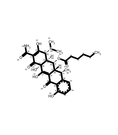 CCCCCC(=O)O[C@@H]1[C@H]2C(=C(O)[C@@]3(O)C(=O)C(C(N)=O)=C(O)[C@H](N(C)C)[C@@H]13)C(=O)c1c(O)cccc1[C@H]2C